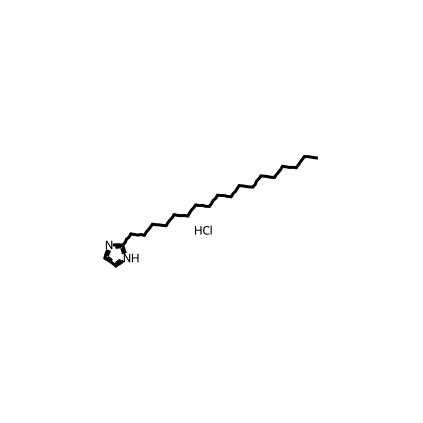 CCCCCCCCCCCCCCCCCCc1ncc[nH]1.Cl